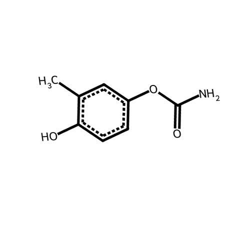 Cc1cc(OC(N)=O)ccc1O